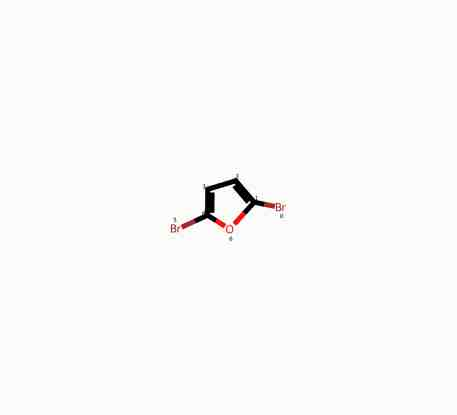 Brc1ccc(Br)o1